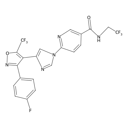 O=C(NCC(F)(F)F)c1ccc(-n2cnc(-c3c(-c4ccc(F)cc4)noc3C(F)(F)F)c2)nc1